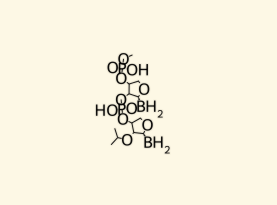 B[C@@H]1OCC(OP(=O)(O)OC2C(OP(=O)(O)OC)CO[C@H]2B)C1OC(C)C